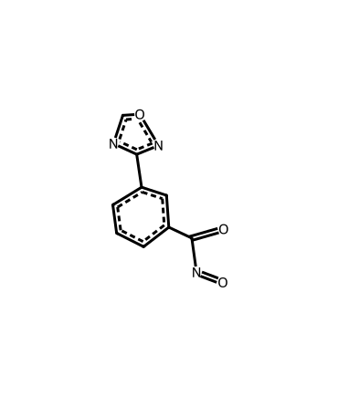 O=NC(=O)c1cccc(-c2ncon2)c1